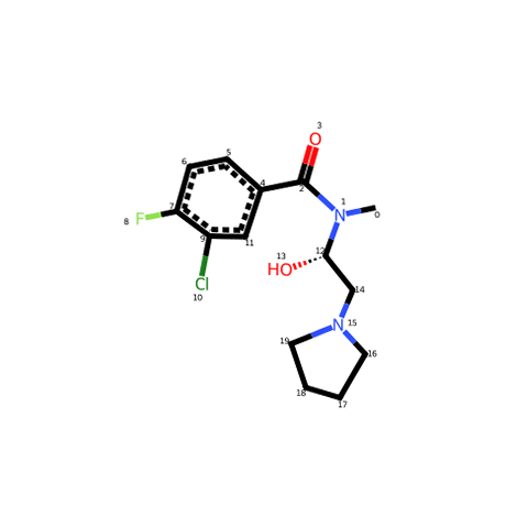 CN(C(=O)c1ccc(F)c(Cl)c1)[C@@H](O)CN1CCCC1